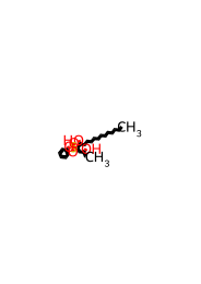 CCCCCCCCCCCCC(O)C(CC(O)CC)S(=O)(=O)Oc1ccccc1